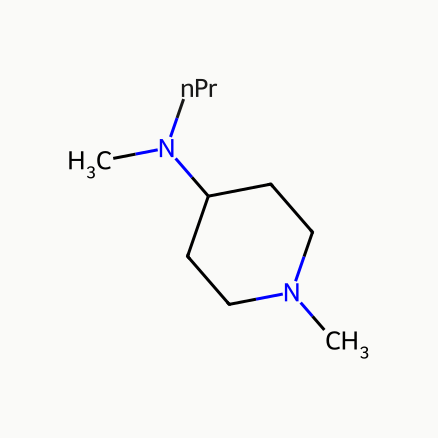 CCCN(C)C1CCN(C)CC1